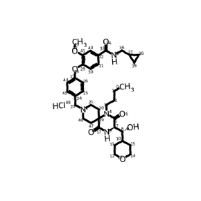 CCCCN1C(=O)[C@@H]([C@H](O)C2CCOCC2)NC(=O)C12CCN(Cc1ccc(Oc3ccc(C(=O)NCC4CC4)cc3OC)cc1)CC2.Cl